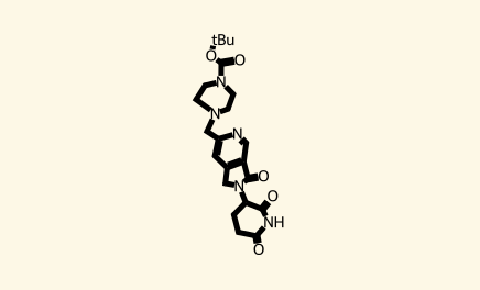 CC(C)(C)OC(=O)N1CCN(Cc2cc3c(cn2)C(=O)N(C2CCC(=O)NC2=O)C3)CC1